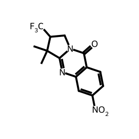 CC1(C)c2nc3cc([N+](=O)[O-])ccc3c(=O)n2CC1C(F)(F)F